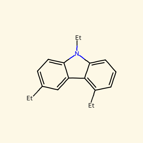 CCc1ccc2c(c1)c1c(CC)cccc1n2CC